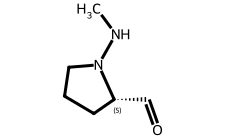 CNN1CCC[C@H]1C=O